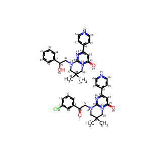 CC1(C)CN(CC(=O)c2cccc(Cl)c2)c2nc(-c3ccncc3)cc(=O)n2C1.CC1(C)CN(CC(O)c2ccccc2)c2nc(-c3ccncc3)cc(=O)n2C1